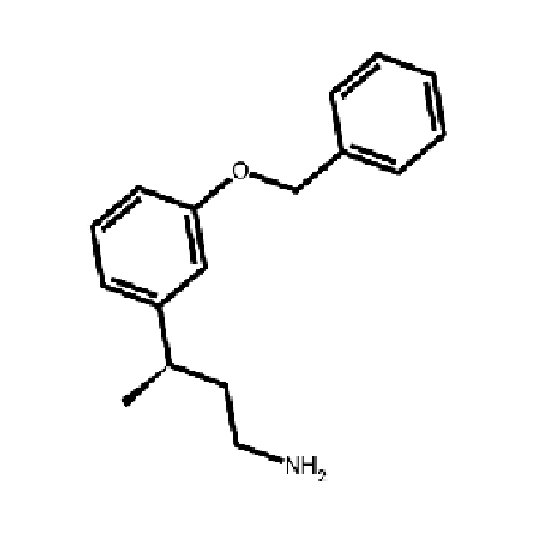 C[C@H](CCN)c1cccc(OCc2ccccc2)c1